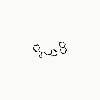 O=C(CCc1ccc(-c2cccc3ccccc23)cc1)c1ccccc1